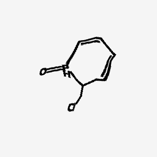 O=[PH]1C=CC=CC1Cl